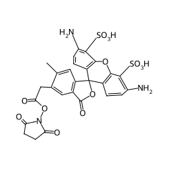 Cc1cc2c(cc1CC(=O)ON1C(=O)CCC1=O)C(=O)OC21c2ccc(N)c(S(=O)(=O)O)c2Oc2c1ccc(N)c2S(=O)(=O)O